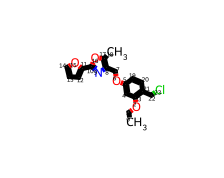 CCOc1cc(OCc2nc(-c3ccco3)oc2C)ccc1CCl